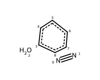 N#N.O.c1ccccc1